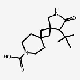 CC(C)(C)C1C(=O)NCC12CC1(CCN(C(=O)O)CC1)C2